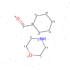 C1COCCN1.O=CC1CCCCC1